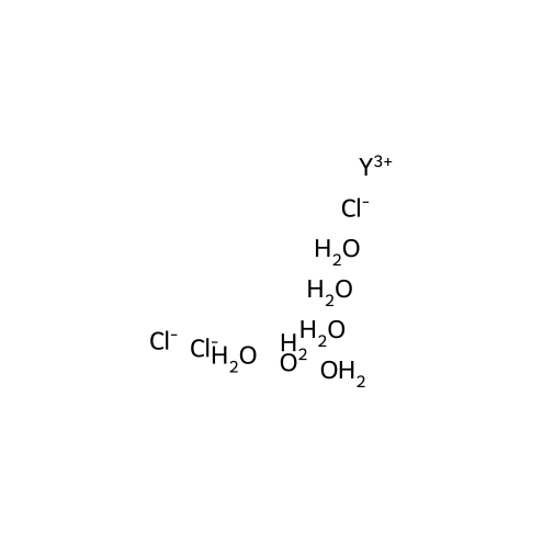 O.O.O.O.O.O.[Cl-].[Cl-].[Cl-].[Y+3]